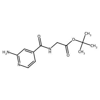 CC(C)(C)OC(=O)CNC(=O)c1ccnc(N)c1